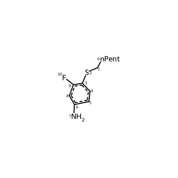 CCCCCCSc1ccc(N)cc1F